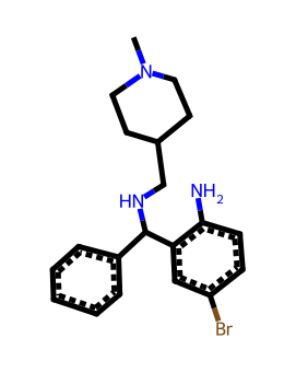 CN1CCC(CNC(c2ccccc2)c2cc(Br)ccc2N)CC1